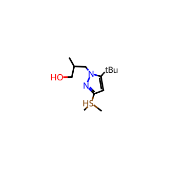 CC(CO)Cn1nc([SH](C)C)cc1C(C)(C)C